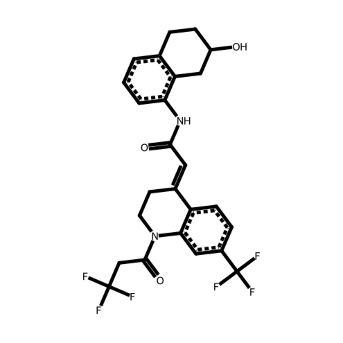 O=C(/C=C1\CCN(C(=O)CC(F)(F)F)c2cc(C(F)(F)F)ccc21)Nc1cccc2c1CC(O)CC2